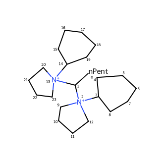 CCCCCC([N+]1(C2CCCCC2)CCCC1)[N+]1(C2CCCCC2)CCCC1